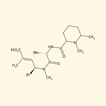 CCOC(=O)/C(C)=C/[C@H](C(C)C)N(C)C(=O)[C@@H](NC(=O)C1CCCC(C)N1C)C(C)(C)C